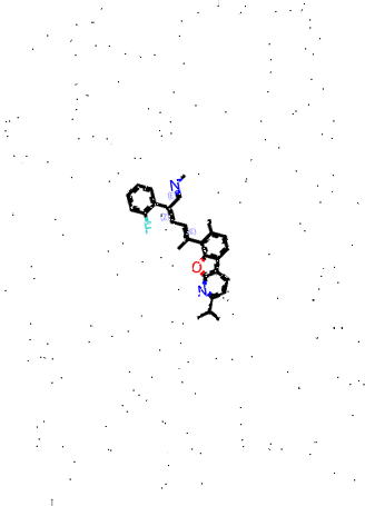 C/N=C/C(=C\C=C(/C)c1c(C)ccc2c1oc1nc(C(C)C)ccc12)c1ccccc1F